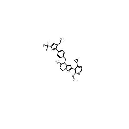 CCn1cc(C(F)(F)F)nc1-c1ccc(CC2c3cc(-c4c(OC)ncnc4C4CC4)nn3CCN2C)cc1